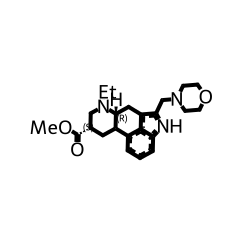 CCN1C[C@@H](C(=O)OC)CC2c3cccc4[nH]c(CN5CCOCC5)c(c34)C[C@H]21